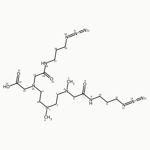 CN(CCN(C)CC(=O)NCCCN=[N+]=[N-])CCN(CC(=O)O)CC(=O)NCCCN=[N+]=[N-]